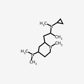 CC(CC1CC(N(C)C)CCN1C)N(C)C1CC1